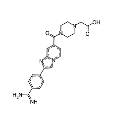 N=C(N)c1ccc(-c2cn3ccc(C(=O)N4CCN(CC(=O)O)CC4)cc3n2)cc1